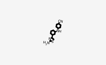 N#Cc1ccc(Nc2cccc(-c3csc(N)n3)c2)cc1